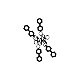 O=C1N(COC2CCC(C3CCCCC3)CC2)C2C(N1COC1CCC(C3CCCCC3)CC1)N(COC1CCC(C3CCCCC3)CC1)C(=O)N2COC1CCC(C2CCCCC2)CC1